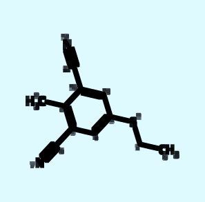 CCSc1cc(C#N)c(C)c(C#N)c1